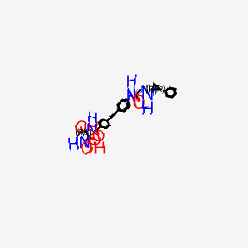 C[C@@H](O)[C@H](NC(=O)c1ccc(C#Cc2ccc(NC(=O)CN[C@@H]3C[C@@H]3c3ccccc3)cc2)cc1)C(=O)NO